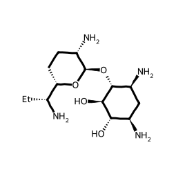 CC[C@@H](N)[C@@H]1CC[C@H](N)[C@@H](O[C@H]2[C@H](O)[C@@H](O)[C@H](N)C[C@@H]2N)O1